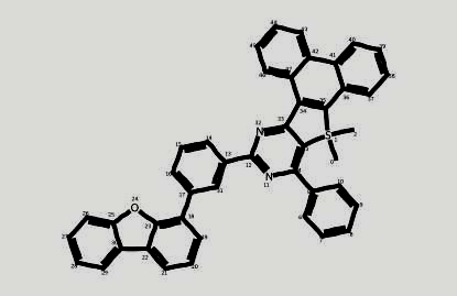 CS1(C)c2c(-c3ccccc3)nc(-c3cccc(-c4cccc5c4oc4ccccc45)c3)nc2-c2c1c1ccccc1c1ccccc21